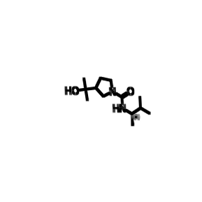 CC(C)[C@@H](C)NC(=O)N1CCC(C(C)(C)O)C1